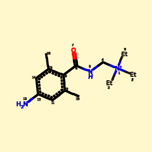 CC[N+](CC)(CC)CNC(=O)c1c(C)cc(N)cc1C